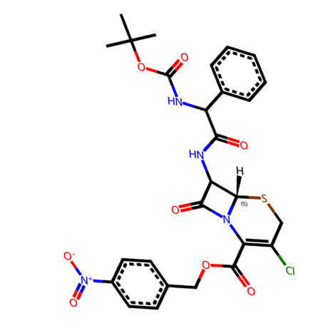 CC(C)(C)OC(=O)NC(C(=O)NC1C(=O)N2C(C(=O)OCc3ccc([N+](=O)[O-])cc3)=C(Cl)CS[C@@H]12)c1ccccc1